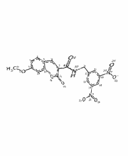 COc1ccc2cc(C(=O)NCc3cc([N+](=O)[O-])cc([N+](=O)[O-])c3)c(=O)oc2c1